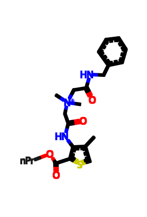 CCCOC(=O)c1scc(C)c1NC(=O)C[N+](C)(C)CC(=O)NCc1ccccc1